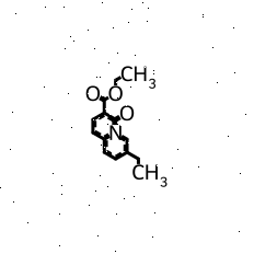 CCOC(=O)c1ccc2ccc(CC)cn2c1=O